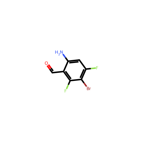 Nc1cc(F)c(Br)c(F)c1C=O